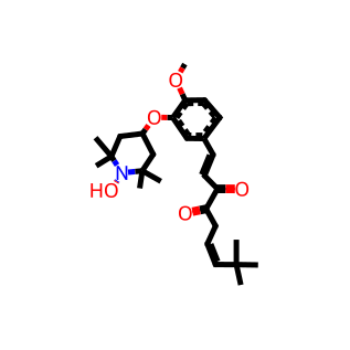 COc1ccc(/C=C/C(=O)C(=O)C/C=C\C(C)(C)C)cc1OC1CC(C)(C)N(O)C(C)(C)C1